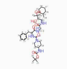 C[C@H](NC(=O)[C@H](Cc1ccccc1)NC(=O)N1CCC(NC(=O)OC(C)(C)C)CC1)C(=O)N[C@@H](CC1CCCCC1)[C@H](O)C(C)(C)O